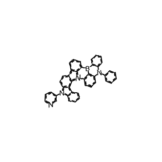 c1ccc(N2c3ccccc3B3c4c2cccc4-n2c4c3cccc4c3ccc4c(c5ccccc5n4-c4cccnc4)c32)cc1